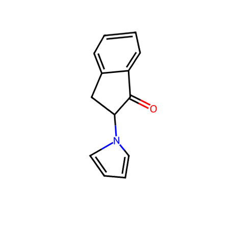 O=C1c2ccccc2CC1n1cccc1